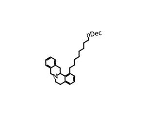 CCCCCCCCCCCCCCCCCCc1cccc2c1C1Cc3ccccc3CN1CC2